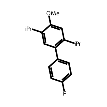 COc1cc(C(C)C)c(-c2ccc(F)cc2)cc1C(C)C